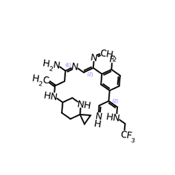 C=N/C(=C\N=C(\N)CC(=C)NC1CCC2(CC2)NC1)c1cc(/C(C=N)=C/NCC(F)(F)F)ccc1F